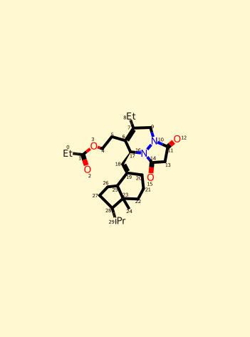 CCC(=O)OCCC1=C(CC)CN2C(=O)CC(=O)N2[C@H]1/C=C1\CCCC2(C)C1CCC2C(C)C